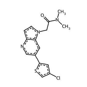 CN(C)C(=O)Cn1ccc2ncc(-c3cc(Cl)cs3)cc21